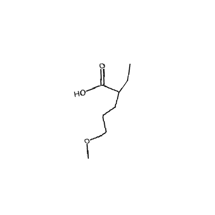 CCC(CCCOC)C(=O)O